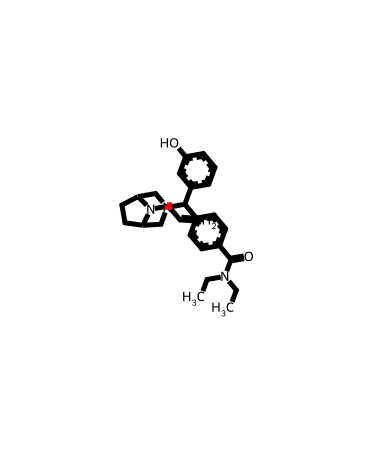 C=CCN1C2CCC1CN(C(c1ccc(C(=O)N(CC)CC)cc1)c1cccc(O)c1)C2